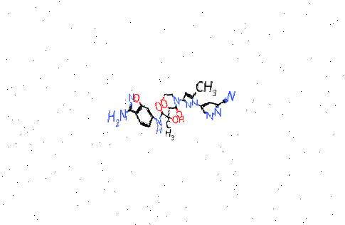 Cc1cc(N2CCO[C@H](C(C)(O)C(=O)Nc3ccc4c(N)noc4c3)C2=O)nn1-c1cnnc(C#N)c1